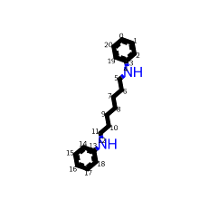 c1ccc(NCCCCCCCNc2ccccc2)cc1